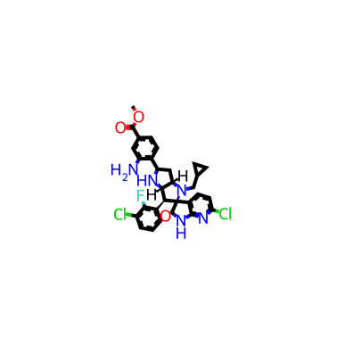 COC(=O)c1ccc(C2C[C@H]3[C@@H](N2)[C@H](c2cccc(Cl)c2F)[C@]2(C(=O)Nc4nc(Cl)ccc42)N3CC2CC2)c(N)c1